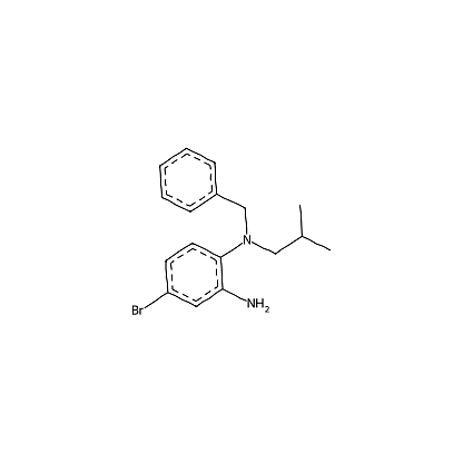 CC(C)CN(Cc1ccccc1)c1ccc(Br)cc1N